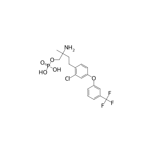 CC(N)(CCc1ccc(Oc2cccc(C(F)(F)F)c2)cc1Cl)COP(=O)(O)O